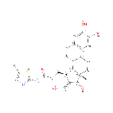 Cc1cnc(NC(=O)CC[C@@H]2/C(=C\O)C(=O)[C@@]3(C)CCC4c5cc(Br)c(O)cc5CCC4C23)s1